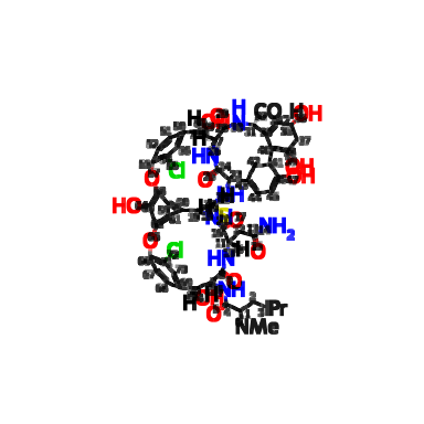 CN[C@H](CC(C)C)C(=O)N[C@H]1C(=O)N[C@@H](CC(N)=O)C(=O)N[C@H]2C(=S)N[C@H]3C(=O)N[C@H](C(=O)N[C@H](C(=O)O)C4=CC(O)CC(O)=C4C4CC3=CC=C4O)[C@H](O)c3ccc(c(Cl)c3)Oc3cc2cc(c3O)Oc2ccc(cc2Cl)[C@H]1O